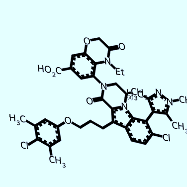 CCN1C(=O)COc2cc(C(=O)O)cc(N3C[C@@H](C)n4c(c(CCCOc5cc(C)c(Cl)c(C)c5)c5ccc(Cl)c(-c6c(C)nn(C)c6C)c54)C3=O)c21